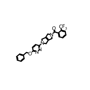 O=C(c1ccccc1C(F)(F)F)N1CC2=C(C1)CN(c1ccc(OCc3ccccc3)nn1)C2